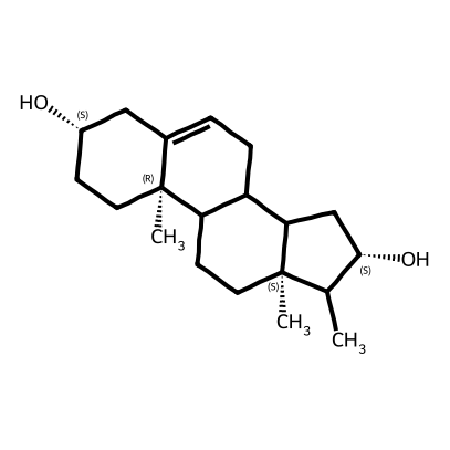 CC1[C@@H](O)CC2C3CC=C4C[C@@H](O)CC[C@]4(C)C3CC[C@@]21C